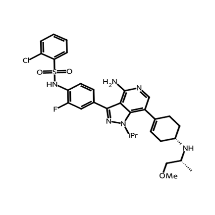 COC[C@@H](C)N[C@@H]1CC=C(c2cnc(N)c3c(-c4ccc(NS(=O)(=O)c5ccccc5Cl)c(F)c4)nn(C(C)C)c23)CC1